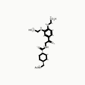 CC(=O)NC[C@H]1CC[C@H](C(=O)NCC(=O)c2ccc(OCC(=O)O)c(OCC(=O)O)c2)CC1